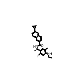 CCNc1cc(F)c([C@@H](C)NC(=O)c2ccc3cc(C4CC4)ccc3c2)cc1C